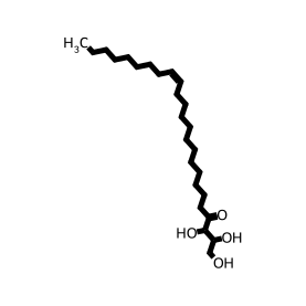 CCCCCCCC/C=C\CCCCCCCCCCCC(=O)C(O)C(O)CO